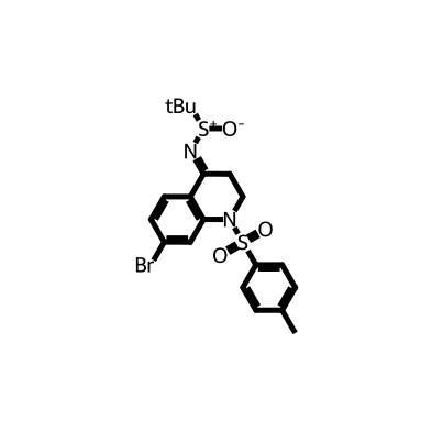 Cc1ccc(S(=O)(=O)N2CC/C(=N\[S+]([O-])C(C)(C)C)c3ccc(Br)cc32)cc1